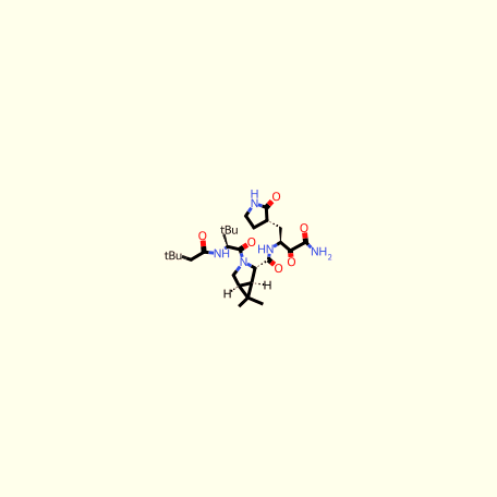 CC(C)(C)CC(=O)N[C@H](C(=O)N1C[C@H]2[C@@H]([C@H]1C(=O)N[C@@H](C[C@@H]1CCNC1=O)C(=O)C(N)=O)C2(C)C)C(C)(C)C